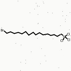 Cl[Si](Cl)(Cl)CCCCCCCCCCCCCCCCBr